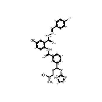 CN(C)CCC(Sc1nnn[nH]1)c1cccc(C(=O)Nc2ccc(Cl)cc2C(=O)NN=Cc2ccc(F)cc2)c1